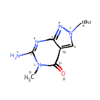 Cn1c(N)nc2nn(C(C)(C)C)cc2c1=O